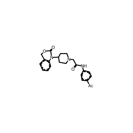 CC(=O)c1ccc(NC(=O)CN2CCC(N3C(=O)OCc4ccccc43)CC2)cc1